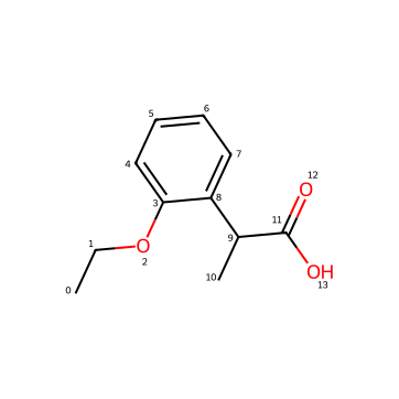 CCOc1ccccc1C(C)C(=O)O